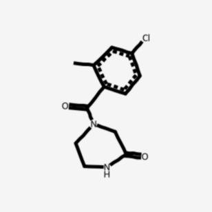 Cc1cc(Cl)ccc1C(=O)N1CCNC(=O)C1